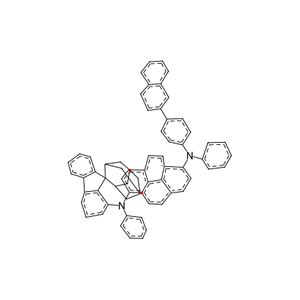 c1ccc(N(c2ccc(-c3ccc4ccccc4c3)cc2)c2ccc3ccc4c(N(c5ccccc5)c5cccc6c5C5(c7ccccc7-6)C6CC7CC(C6)CC5C7)ccc5ccc2c3c54)cc1